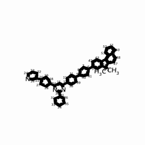 CC1(C)c2cc(-c3ccc(-c4ccc(-c5cc(-c6ccc(-c7cccnc7)cc6)nc(-c6ccccc6)n5)cc4)cc3)ccc2-c2c1ccc1ccccc21